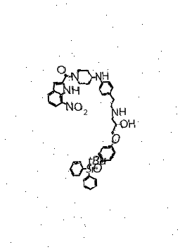 CC(C)(C)[Si](Oc1ccc(OC[C@@H](O)CNCCc2ccc(NC3CCN(C(=O)c4cc5cccc([N+](=O)[O-])c5[nH]4)CC3)cc2)cc1)(c1ccccc1)c1ccccc1